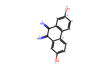 N=C1C(=N)c2cc(O)ccc2-c2ccc(O)cc21